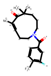 CC1(C)CCCN(C(=O)c2ccc(C(F)(F)F)c(F)c2)CC/C=C(/C#N)C1=O